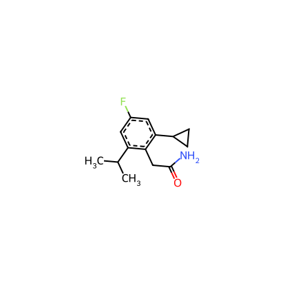 CC(C)c1cc(F)cc(C2CC2)c1CC(N)=O